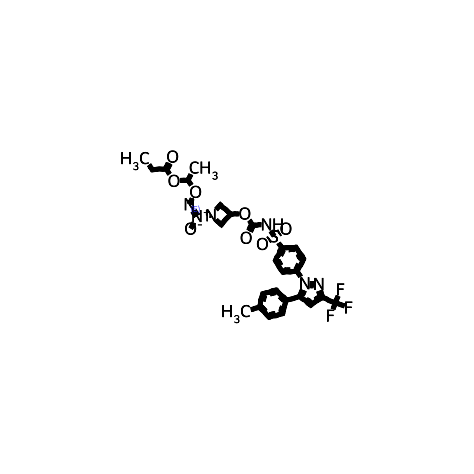 CCC(=O)OC(C)O/N=[N+](/[O-])N1CC(OC(=O)NS(=O)(=O)c2ccc(-n3nc(C(F)(F)F)cc3-c3ccc(C)cc3)cc2)C1